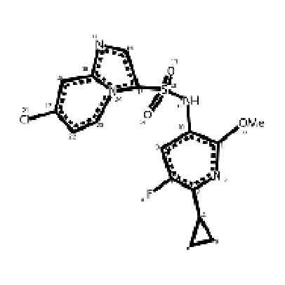 COc1nc(C2CC2)c(F)cc1NS(=O)(=O)c1cnc2cc(Cl)ccn12